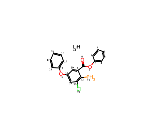 O=C(Oc1ccccc1)c1cc(Oc2ccccc2)cc(Cl)c1P.[LiH]